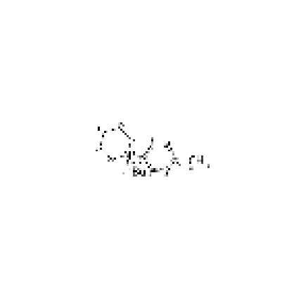 CCCC[N+]1(c2ccc(C)cc2)CCCCC1